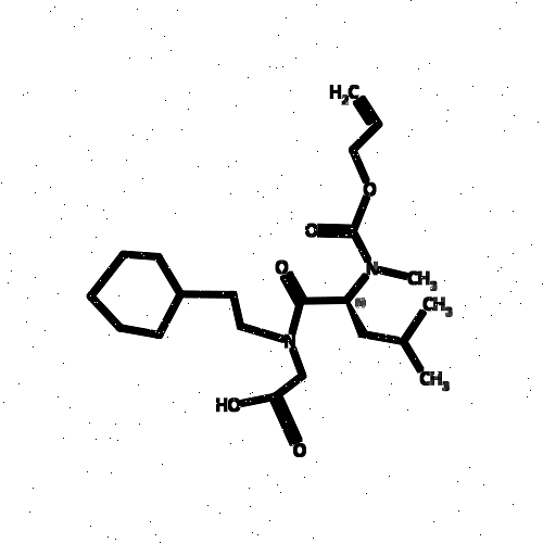 C=CCOC(=O)N(C)[C@@H](CC(C)C)C(=O)N(CCC1CCCCC1)CC(=O)O